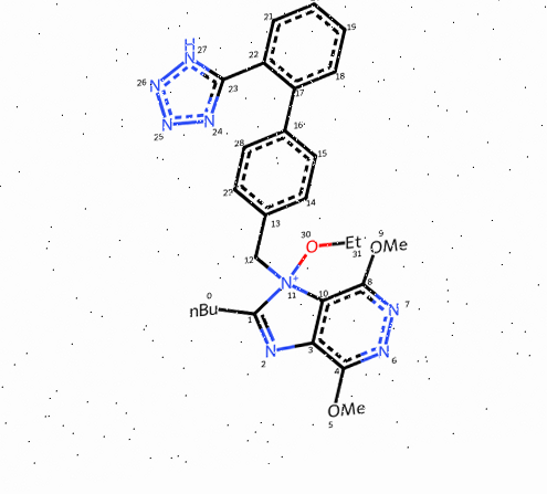 CCCCC1=Nc2c(OC)nnc(OC)c2[N+]1(Cc1ccc(-c2ccccc2-c2nnn[nH]2)cc1)OCC